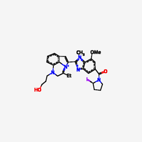 CCC1=[N+]2C(c3nc4cc(C(=O)N5CCC[C@H]5I)cc(OC)c4n3C)=Cc3cccc(c32)N(CCCO)C1